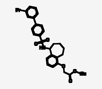 CC(C)c1cccc(-c2ccc(S(=O)(=O)NC3CCCCc4c(OCC(=O)OC(C)(C)C)cccc43)cc2)c1